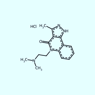 Cc1n[nH]c2c1c(=O)n(CCN(C)C)c1ccccc21.Cl